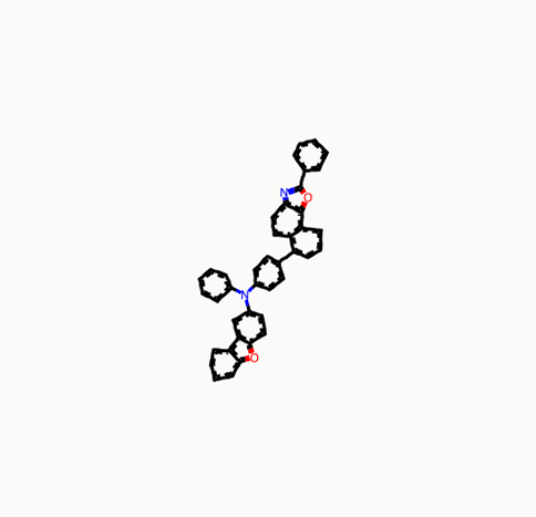 c1ccc(-c2nc3ccc4c(-c5ccc(N(c6ccccc6)c6ccc7oc8ccccc8c7c6)cc5)cccc4c3o2)cc1